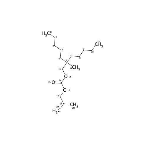 CCCCCC(C)(CCCCC)COC(=O)OCC(C)C